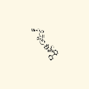 COC(=O)CNC(=S)N1CCC(c2nc(C(=O)Nc3ccccc3-c3ccccc3)cs2)CC1